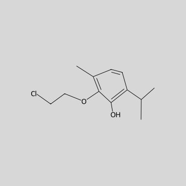 Cc1ccc(C(C)C)c(O)c1OCCCl